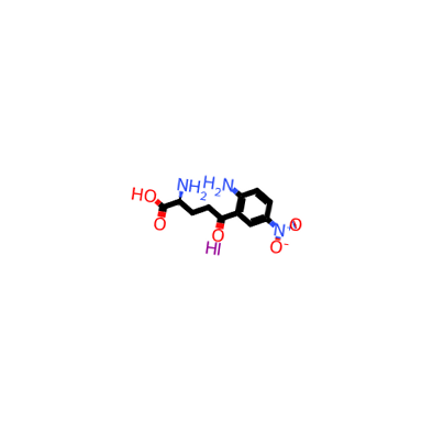 I.Nc1ccc([N+](=O)[O-])cc1C(=O)CC[C@H](N)C(=O)O